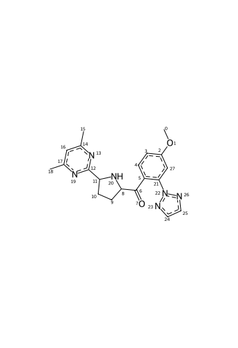 COc1ccc(C(=O)C2CCC(c3nc(C)cc(C)n3)N2)c(-n2nccn2)c1